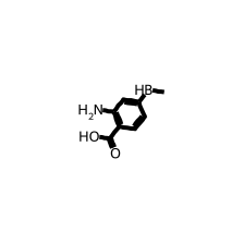 CBc1ccc(C(=O)O)c(N)c1